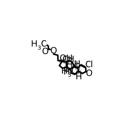 CCC(=O)OCCC[C@]1(O)CC[C@H]2[C@@H]3CC[C@H]4CC(=O)C(Cl)=C[C@]4(C)[C@H]3CC[C@@]21C